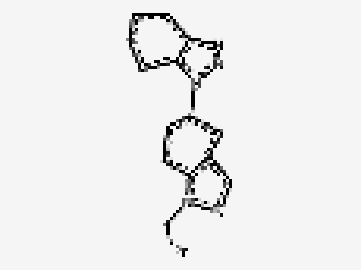 CC(C)Cn1ncc2cc(-n3nnc4ccccc43)ccc21